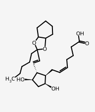 CCCCCC1(/C=C/[C@@H]2[C@@H](C/C=C\CCCC(=O)O)[C@@H](O)C[C@H]2O)OC2CCCCC2O1